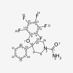 NC(=O)N1CCC(Oc2c(F)c(F)c(F)c(F)c2F)(c2ccccc2)CC1